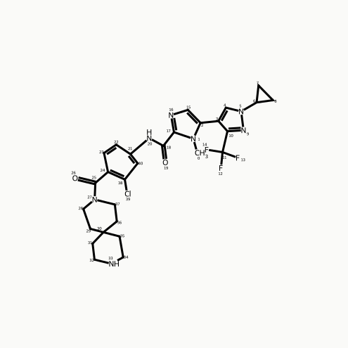 Cn1c(-c2cn(C3CC3)nc2C(F)(F)F)cnc1C(=O)Nc1ccc(C(=O)N2CCC3(CCNCC3)CC2)c(Cl)c1